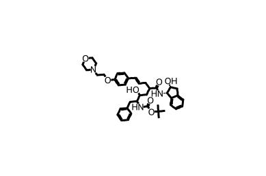 CC(C)(C)OC(=O)NC(Cc1ccccc1)C(O)CC(CC=Cc1ccc(OCCN2CCOCC2)cc1)C(=O)N[C@H]1c2ccccc2C[C@@H]1O